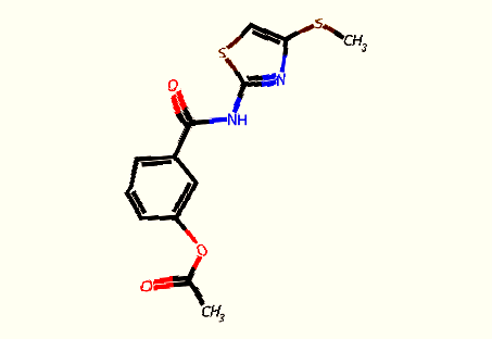 CSc1csc(NC(=O)c2cccc(OC(C)=O)c2)n1